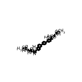 COC(=O)NCCC(=O)Pc1ncc(-c2ccc3cc(-c4ccc(-c5ccc6nc(PC(=O)CNC(=O)OC)[nH]c6c5)cc4)ccc3c2)[nH]1